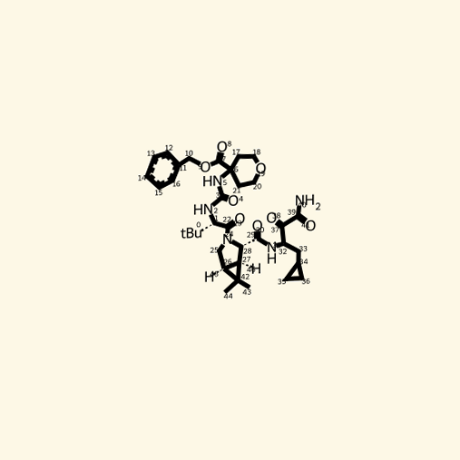 CC(C)(C)[C@H](NC(=O)NC1(C(=O)OCc2ccccc2)CCOCC1)C(=O)N1C[C@H]2[C@@H]([C@H]1C(=O)NC(CC1CC1)C(=O)C(N)=O)C2(C)C